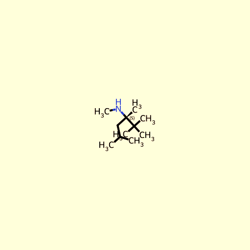 CN[C@@](C)(CC(C)C)C(C)(C)C